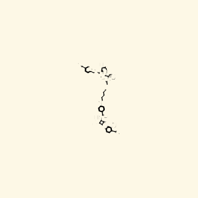 CC(C)(C)[C@H](NC(=O)COCCCCCNc1ccc(C(=O)N[C@H]2C(C)(C)[C@H](Oc3ccc(C#N)c(Cl)c3)C2(C)C)cc1)C(=O)N1C[C@H](O)C[C@H]1C(=O)NCc1ccc(C#N)cn1